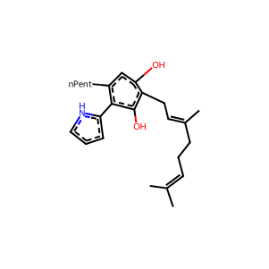 CCCCCc1cc(O)c(C/C=C(\C)CCC=C(C)C)c(O)c1-c1ccc[nH]1